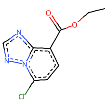 CCOC(=O)c1ccc(Cl)n2ncnc12